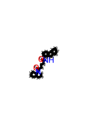 O=C(CCCC(=O)N1CCCC2CCCCC21)Nc1cccc2c1Cc1ccccc1-2